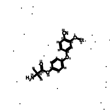 CCOc1cc(Oc2ccc(OC(=O)C(C)(C)N)cc2)ccc1C#N